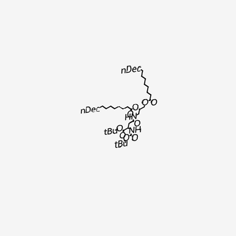 CCCCCCCCCCCCCCCCCC(=O)OCC(CNC(=O)CC(NC(=O)OC(C)(C)C)C(=O)OC(C)(C)C)OC(=O)CCCCCCCCCCCCCCCCC